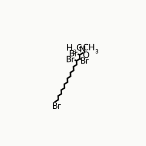 CN(C)C(=O)C(Br)C(Br)C(Br)CCCCCCCCCCCCCCBr